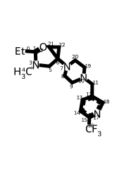 CCC(=O)N(C)CC1(N2CCN(Cc3ccc(C(F)(F)F)nc3)CC2)CC1